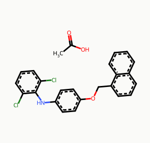 CC(=O)O.Clc1cccc(Cl)c1Nc1ccc(OCc2cccc3ccccc23)cc1